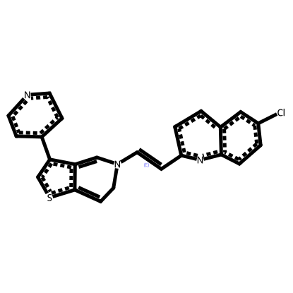 Clc1ccc2nc(/C=C/N3C=c4c(-c5ccncc5)csc4=CC3)ccc2c1